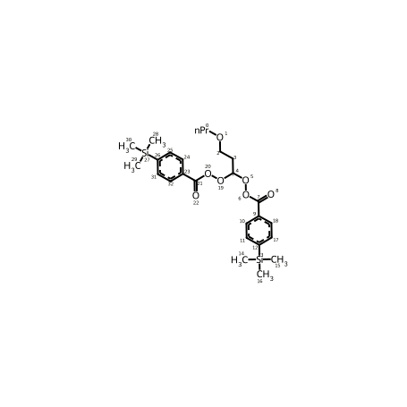 [CH2]CCOCC[C](OOC(=O)c1ccc([Si](C)(C)C)cc1)OOC(=O)c1ccc([Si](C)(C)C)cc1